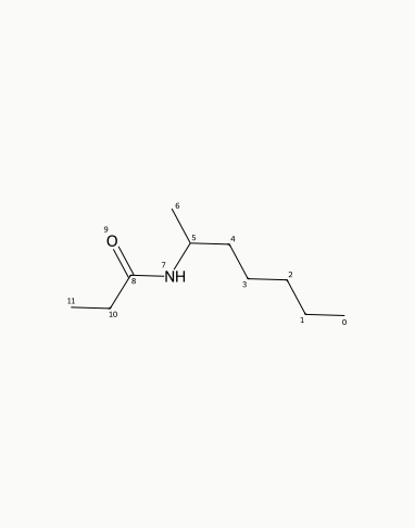 CCCCCC(C)NC(=O)CC